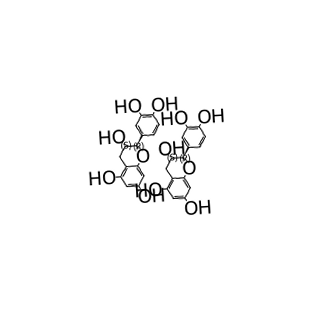 Oc1cc(O)c2c(c1)O[C@H](c1ccc(O)c(O)c1)[C@@H](O)C2.Oc1cc(O)c2c(c1)O[C@H](c1ccc(O)c(O)c1)[C@@H](O)C2